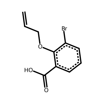 C=CCOc1c(Br)cccc1C(=O)O